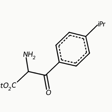 CCOC(=O)C(N)C(=O)c1ccc(C(C)C)cc1